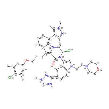 Cc1cc(OCCCc2c3n(c4c(-c5c(C)nn(C)c5C)cccc24)C(C)[C@@H](Cl)N(c2cn(CCN4CCOCC4)c4ccc(-c5ncn(C)n5)cc24)C3=O)cc(C)c1Cl